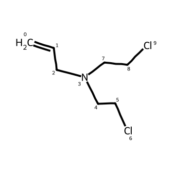 C=CCN(CCCl)CCCl